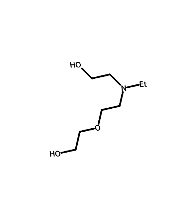 CCN(CCO)CCOCCO